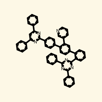 c1ccc(-c2cc(-c3ccccc3)nc(-c3ccc(-c4ccc(-c5ccccc5-c5nc(-c6ccccc6)nc(-c6ccccc6)n5)cc4-c4cccnc4)cc3)n2)cc1